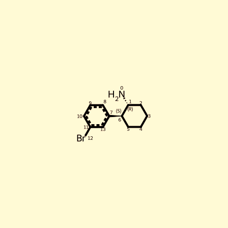 N[C@@H]1CCCC[C@H]1c1cccc(Br)c1